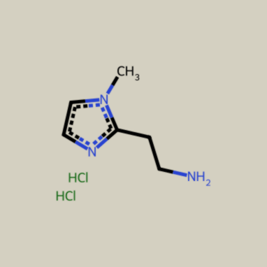 Cl.Cl.Cn1ccnc1CCN